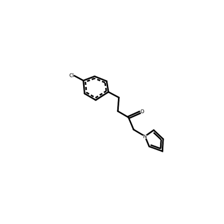 O=C(CCc1ccc(Cl)cc1)CN1C=C=C=C1